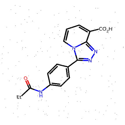 CCC(=O)Nc1ccc(-c2nnc3c(C(=O)O)cccn23)cc1